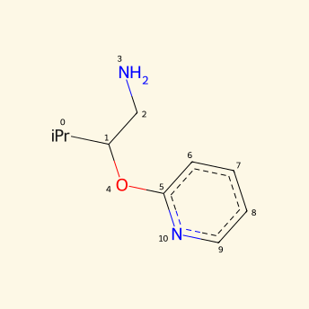 CC(C)C(CN)Oc1ccccn1